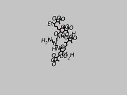 CCC(CCCC(C)C1C(=O)OC(=O)C1C)C(CC(C(=O)O)C1C(=O)OC(=O)C1C)C(=O)NCCN(CCN)CCNC(=O)C(C(C)CCCC(CC)C1C(=O)OC(=O)C1C)C(C(=O)O)C1C(=O)OC(=O)C1C